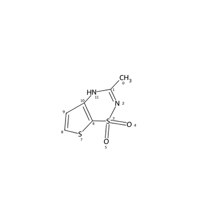 CC1=NS(=O)(=O)c2sccc2N1